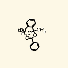 CC(C)(C)c1ccccc1C(C)(C)OC(=O)c1ccccc1